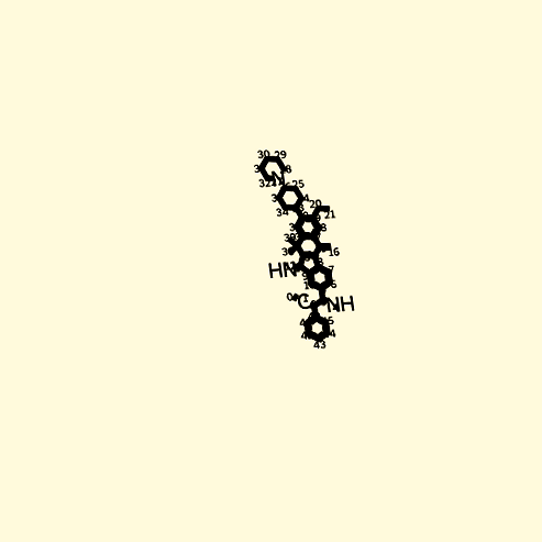 C=C=C(C(=N)c1ccc2c(c1)C(=N)C1=C2C(=C)c2cc(CC)c(C3CCC(N4CCCCC4)CC3)cc2C1(C)C)c1ccccc1